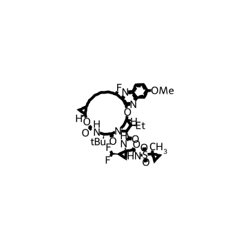 CC[C@@H]1[C@@H]2CN(C(=O)[C@H](C(C)(C)C)NC(=O)O[C@@H]3CC3CCCCC(F)c3nc4ccc(OC)cc4nc3O2)[C@@H]1C(=O)N[C@]1(C(=O)NS(=O)(=O)C2(C)CC2)C[C@H]1C(F)F